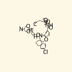 CC[C@@H]1CCCC[C@@H]([C@H]2OC[C@H](N(C)C)CO2)[C@@H]2CC[C@H]2CN2C[C@@]3(CCCc4cc(Cl)ccc43)COc3ccc(cc32)C(=O)NS1(=O)=O